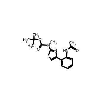 CC(=O)Nc1ccccc1-c1csc(N(C)C(=O)OC(C)(C)C)n1